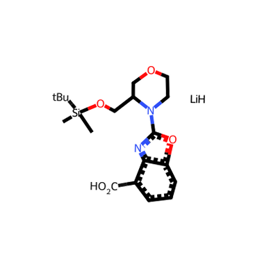 CC(C)(C)[Si](C)(C)OCC1COCCN1c1nc2c(C(=O)O)cccc2o1.[LiH]